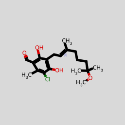 COC(C)(C)CCC/C(C)=C/Cc1c(O)c(Cl)c(C)c(C=O)c1O